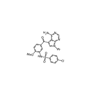 COc1ccc(C(=O)c2cn(C(C)C)c3ncnc(N)c23)cc1NS(=O)(=O)c1ccc(Cl)cc1